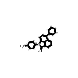 O=C1c2cccc3c(-c4ccccc4)ccc(c23)N1c1ccc(C(F)(F)F)cc1